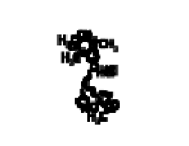 CCN1C(=O)C(C)(C)C(=O)N(C)c2cc(OCCCN(CCn3ccc4occ(C)c4c3=O)Cc3ccncc3)ccc21.Cl.Cl